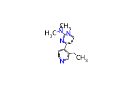 CCc1cnccc1-c1ccnc(N(C)C)n1